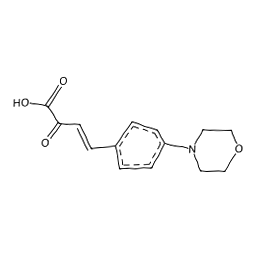 O=C(O)C(=O)/C=C/c1ccc(N2CCOCC2)cc1